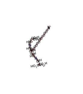 [N-]=[N+]=NCCOCCOCCOCCOCCOCCOCCOCCOCCOCCOCCOCCOCCC(=O)N[C@H](CCC(=O)NCC(=O)Nc1ccc(/N=N/c2ccc(NC(=O)CCC[C@@H](C[C@H](N)C(=O)O)C(=O)O)cc2)cc1)C(=O)NCC(=O)Nc1ccc(/N=N/c2ccc(NC(=O)CCC[C@@H](C[C@H](N)C(=O)O)C(=O)O)cc2)cc1